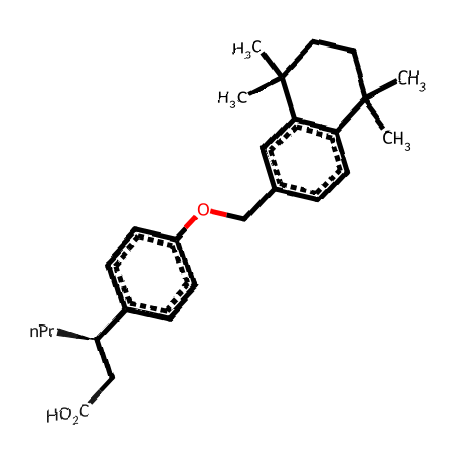 CCC[C@H](CC(=O)O)c1ccc(OCc2ccc3c(c2)C(C)(C)CCC3(C)C)cc1